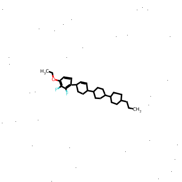 CCCC1CCC(C2CCC(C3C=CC(c4ccc(OCC)c(F)c4F)CC3)CC2)CC1